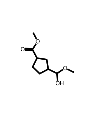 COC(=O)C1CCC(C(O)OC)C1